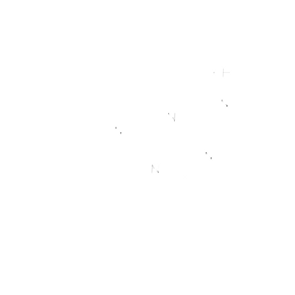 CN(C)c1nc(-c2ccccc2)nc(-n2c3ccccc3c3ccccc32)n1